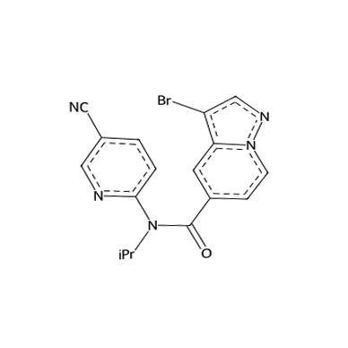 CC(C)N(C(=O)c1ccn2ncc(Br)c2c1)c1ccc(C#N)cn1